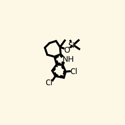 CC1(O[Si](C)(C)C)CCCCc2c1[nH]c1c(Cl)cc(Cl)cc21